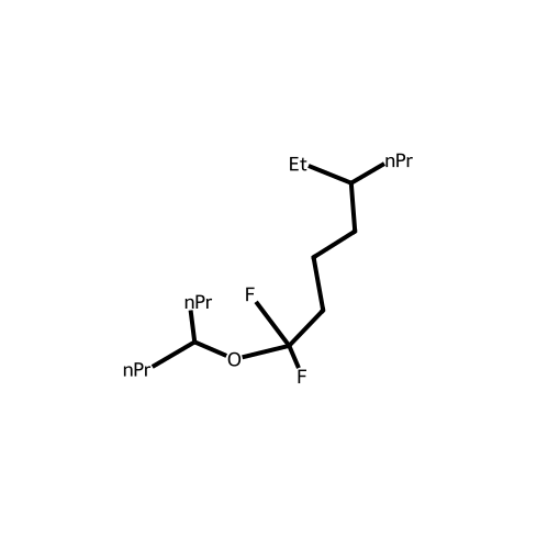 CCCC(CC)CCCC(F)(F)OC(CCC)CCC